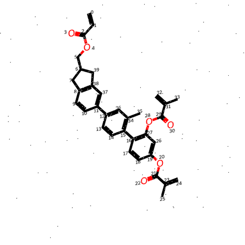 C=CC(=O)OCC1Cc2ccc(-c3ccc(-c4ccc(OC(=O)C(=C)C)cc4OC(=O)C(=C)C)c(C)c3)cc2C1